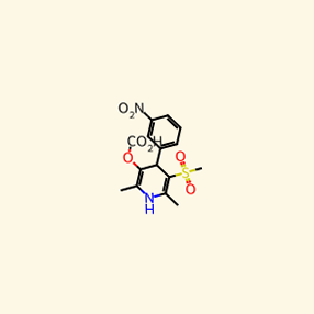 CC1=C(OC(=O)O)C(c2cccc([N+](=O)[O-])c2)C(S(C)(=O)=O)=C(C)N1